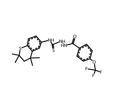 CC1(C)CC(C)(C)c2cc(NC(=S)NNC(=O)c3ccc(OC(F)(F)F)cc3)ccc2S1